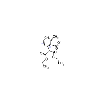 C=C/C(=C(\C=C/C)C(C(=O)OCC)C(=O)OCC)[N+](=O)[O-]